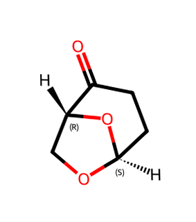 O=C1CC[C@H]2OC[C@H]1O2